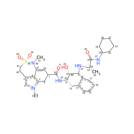 CCn1cc2c3c1CC(C(=O)N[C@@H](Cc1ccccc1)[C@H](O)CN[C@@H](C)C(=O)NC1CCCCC1)C=C3N(C)S(=O)(=O)CC2